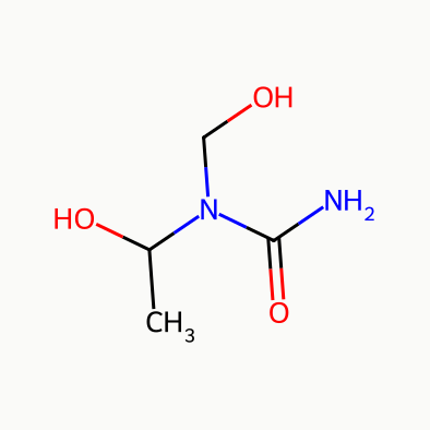 CC(O)N(CO)C(N)=O